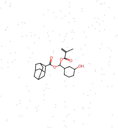 C=C(C)C(=O)OC(OC(=O)C1C2CC3CC(C2)CC1C3)C1CCCC(O)C1